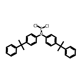 CC(C)(c1ccccc1)c1ccc(N(c2ccc(C(C)(C)c3ccccc3)cc2)P(Cl)Cl)cc1